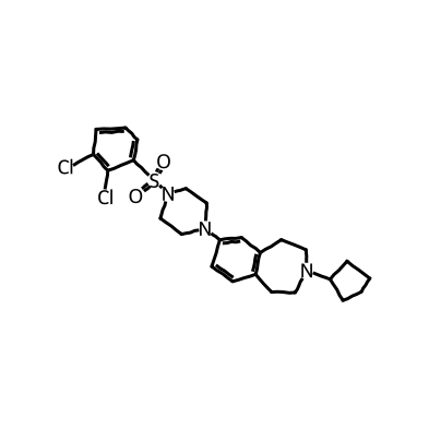 O=S(=O)(c1cccc(Cl)c1Cl)N1CCN(c2ccc3c(c2)CCN(C2CCCC2)CC3)CC1